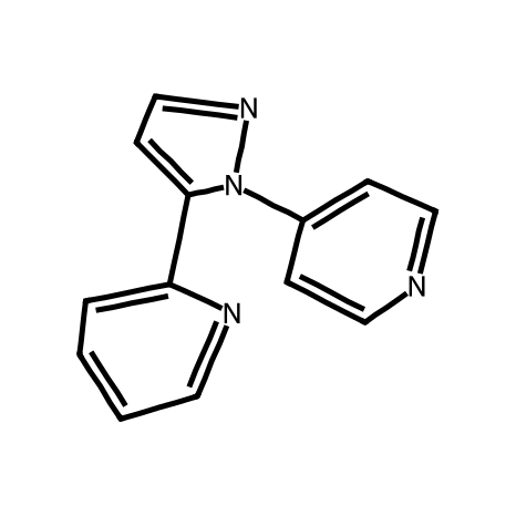 c1ccc(-c2ccnn2-c2ccncc2)nc1